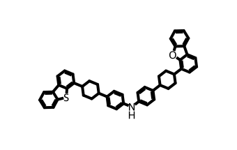 c1ccc2c(c1)oc1c(C3CCC(c4ccc(Nc5ccc(C6CCC(c7cccc8c7sc7ccccc78)CC6)cc5)cc4)CC3)cccc12